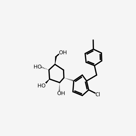 Cc1ccc(Cc2cc([C@H]3C[C@H](CO)[C@@H](O)[C@H](O)[C@H]3O)ccc2Cl)cc1